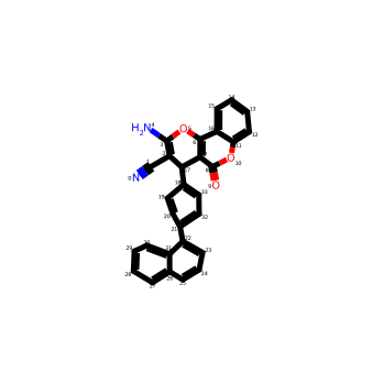 N#CC1=C(N)Oc2c(c(=O)oc3ccccc23)C1c1ccc(-c2cccc3ccccc23)cc1